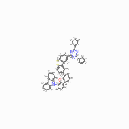 c1ccc(-c2nc(-c3ccccc3)nc(-c3ccc4sc5ccc(-c6cccc7c6oc6c(-n8c9ccccc9c9ccccc98)cccc67)cc5c4c3)n2)cc1